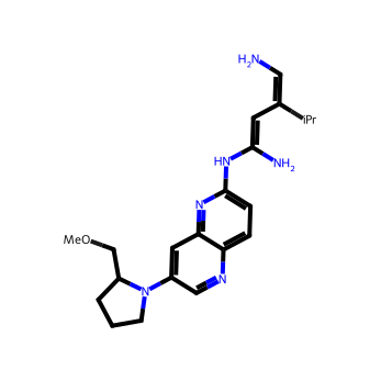 COCC1CCCN1c1cnc2ccc(N/C(N)=C/C(=C\N)C(C)C)nc2c1